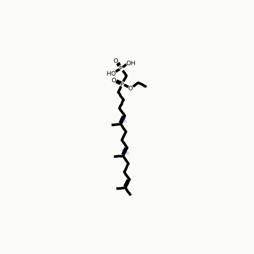 CCOP(=O)(CCC/C=C(\C)CC/C=C(\C)CCC=C(C)C)CP(=O)(O)O